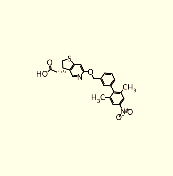 Cc1cc([N+](=O)[O-])cc(C)c1-c1cccc(COc2cc3c(cn2)[C@H](CC(=O)O)CS3)c1